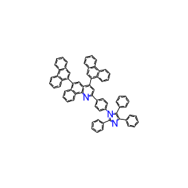 c1ccc(-c2nc(-c3ccccc3)n(-c3ccc(-c4cc(-c5cc6ccccc6c6ccccc56)c5cc(-c6cc7ccccc7c7ccccc67)c6ccccc6c5n4)cc3)c2-c2ccccc2)cc1